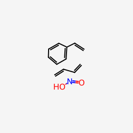 C=CC=C.C=Cc1ccccc1.O=NO